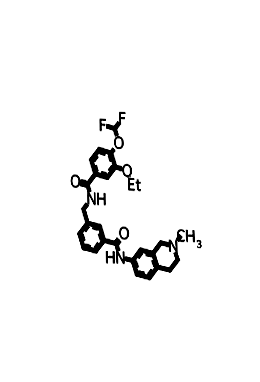 CCOc1cc(C(=O)NCc2cccc(C(=O)Nc3ccc4c(c3)CN(C)CC4)c2)ccc1OC(F)F